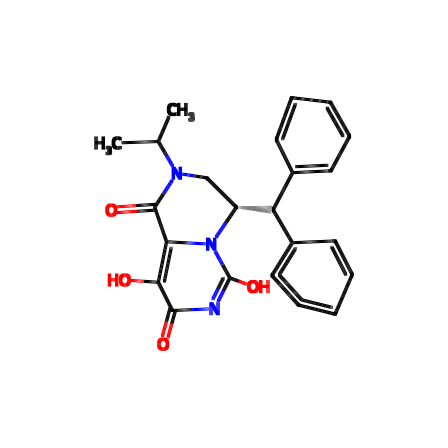 CC(C)N1C[C@H](C(C2=C=C=CC=C2)c2ccccc2)n2c(O)nc(=O)c(O)c2C1=O